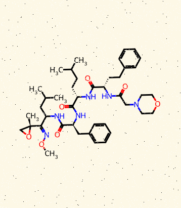 CO/N=C(/C(CC(C)C)NC(=O)[C@H](Cc1ccccc1)NC(=O)[C@H](CCC(C)C)NC(=O)[C@H](CCc1ccccc1)NC(=O)CN1CCOCC1)[C@@]1(C)CO1